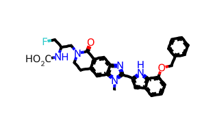 Cn1c(-c2cc3cccc(OCc4ccccc4)c3[nH]2)nc2cc3c(cc21)CCN(CC(CF)NC(=O)O)C3=O